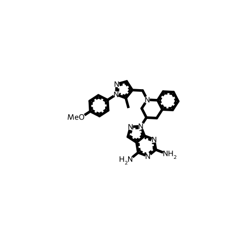 COc1ccc(-n2ncc(CN3CC(n4ncc5c(N)nc(N)nc54)Cc4ccccc43)c2C)cc1